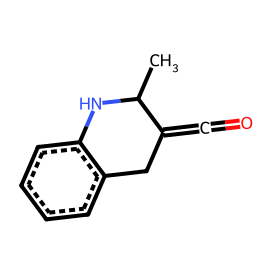 CC1Nc2ccccc2CC1=C=O